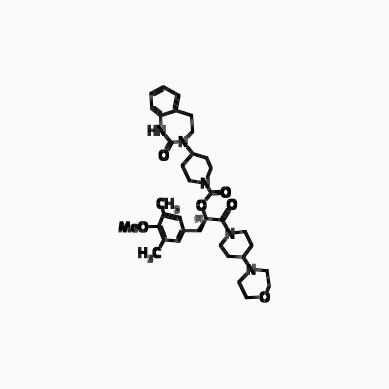 COc1c(C)cc(C[C@@H](OC(=O)N2CCC(N3CCc4ccccc4NC3=O)CC2)C(=O)N2CCC(N3CCOCC3)CC2)cc1C